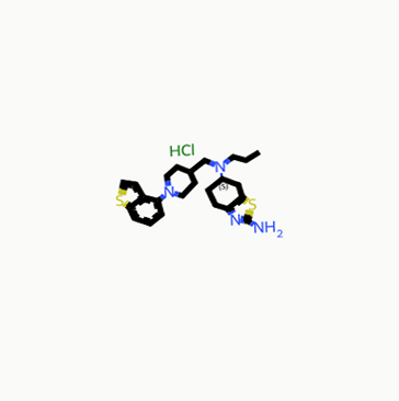 CCCN(CC1CCN(c2cccc3sccc23)CC1)[C@H]1CCc2nc(N)sc2C1.Cl